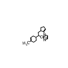 CC1=CCC(C(C)CC2CCC=C2n2ccnc2)CC1